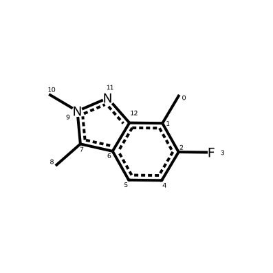 Cc1c(F)ccc2c(C)n(C)nc12